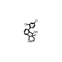 O[C@@H]1c2c(-c3ccc(Cl)cc3Cl)cccc2C2CNCC[C@H]21